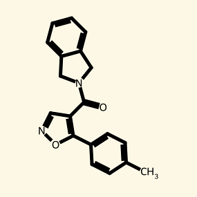 Cc1ccc(-c2oncc2C(=O)N2Cc3ccccc3C2)cc1